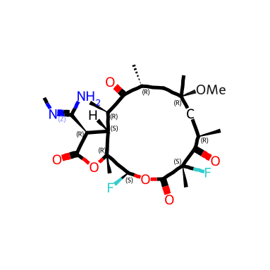 C/N=C(\N)[C@@H]1C(=O)O[C@]2(C)[C@H]1[C@@H](C)C(=O)[C@H](C)C[C@@](C)(OC)C[C@@H](C)C(=O)[C@](C)(F)C(=O)O[C@H]2F